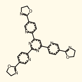 c1cc(-c2cc(-c3ccc(C4=NCCO4)cn3)nc(-c3ccc(C4=NCCO4)cn3)n2)ncc1C1=NCCO1